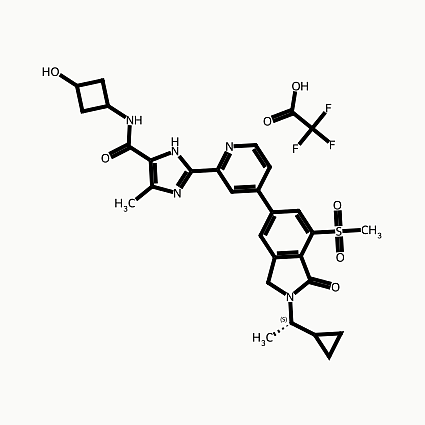 Cc1nc(-c2cc(-c3cc4c(c(S(C)(=O)=O)c3)C(=O)N([C@@H](C)C3CC3)C4)ccn2)[nH]c1C(=O)NC1CC(O)C1.O=C(O)C(F)(F)F